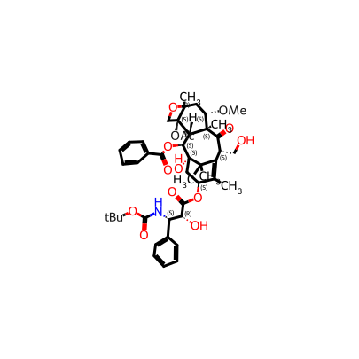 CO[C@H]1C[C@@]2(C)OC[C@@]2(OC(C)=O)[C@H]2[C@H](OC(=O)c3ccccc3)[C@]3(O)C[C@H](OC(=O)[C@H](O)[C@@H](NC(=O)OC(C)(C)C)c4ccccc4)C(C)=C([C@@H](CO)C(=O)[C@]12C)C3(C)C